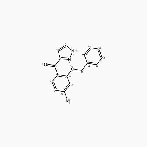 O=C(c1cc[nH]n1)c1ccc(Br)cc1OCc1ccccc1